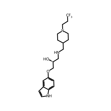 O[C@@H](CNCC1CCN(CCC(F)(F)F)CC1)COc1ccc2[nH]ccc2c1